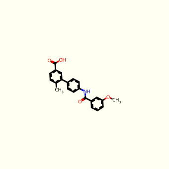 COc1cccc(C(=O)Nc2ccc(-c3cc(C(=O)O)ccc3C)cc2)c1